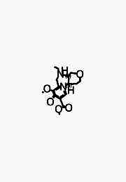 CCN1Cc2c(OC)c(=O)c(C(=O)OC)cn2[C@H]2CCOC[C@H]21